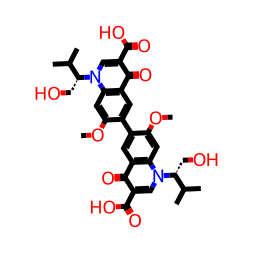 COc1cc2c(cc1-c1cc3c(=O)c(C(=O)O)cn([C@H](CO)C(C)C)c3cc1OC)c(=O)c(C(=O)O)cn2[C@H](CO)C(C)C